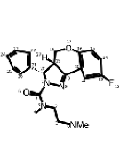 CNCCN(C)C(=O)N1N=C2c3cc(F)ccc3OC[C@H]2[C@H]1c1ccccc1